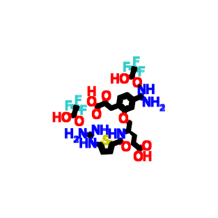 N=C(N)Nc1ccc(C(=O)N[C@H](CCC(=O)O)COc2cc(C(=N)N)ccc2CC(=O)C(=O)O)s1.O=C(O)C(F)(F)F.O=C(O)C(F)(F)F